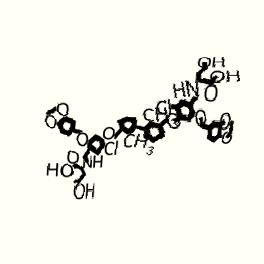 Cc1c(COc2cc(OCc3ccc4c(c3)OCCO4)c(CNC(CCO)C(=O)O)cc2Cl)cccc1-c1cccc(COc2cc(OCc3ccc4c(c3)OCCO4)c(CNC(CCO)C(=O)O)cc2Cl)c1C